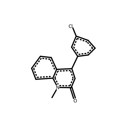 Cn1c(=O)cc(-c2cccc(Cl)c2)c2ccccc21